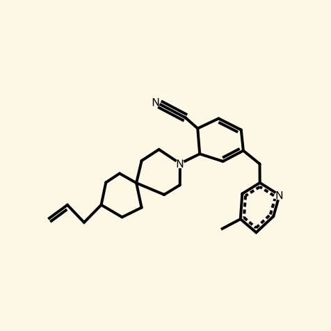 C=CCC1CCC2(CC1)CCN(C1C=C(Cc3cc(C)ccn3)C=CC1C#N)CC2